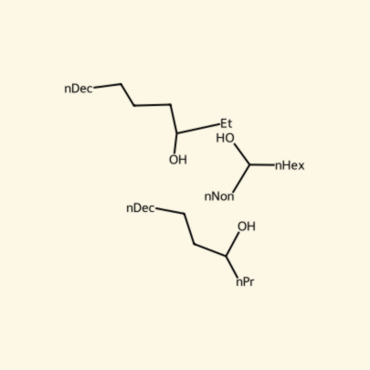 CCCCCCCCCC(O)CCCCCC.CCCCCCCCCCCCC(O)CCC.CCCCCCCCCCCCCC(O)CC